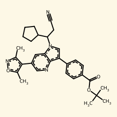 Cc1noc(C)c1-c1cnc2c(-c3ccc(C(=O)OC(C)(C)C)cc3)cn(C(CC#N)C3CCCC3)c2c1